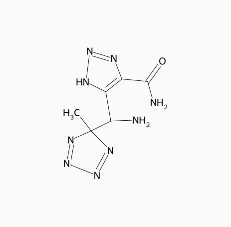 CC1(C(N)c2[nH]nnc2C(N)=O)N=NN=N1